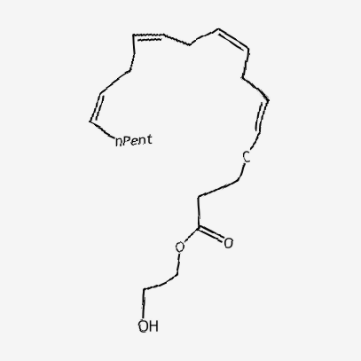 CCCCC/C=C\C/C=C\C/C=C\C/C=C\CCCC(=O)OCCO